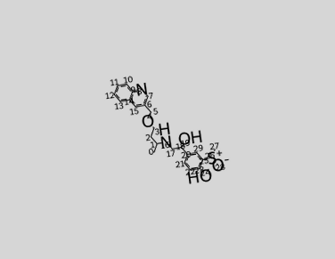 CC(CCOCc1cnc2ccccc2c1)NCC(O)c1ccc(O)c([S+](C)[O-])c1